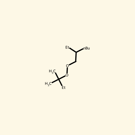 CCCCC([CH]OOC(C)(C)CC)CC